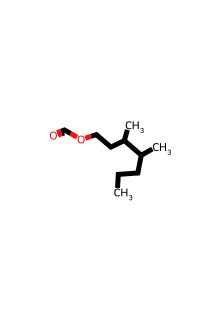 CCCC(C)C(C)CCO[C]=O